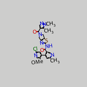 COc1cnc(Cl)cc1-c1cc(C)ncc1C(=O)Nc1nc2c(s1)CN(C(=O)c1cnn(C)c1C)C2